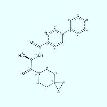 C[C@@H](NC(=O)c1ccc(-c2ccccc2)nn1)C(=O)N1CCC2(CC1)CC2